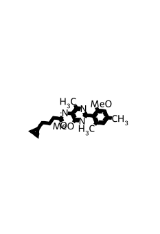 COc1cc(C)cc(C)c1-c1nc(C)c([N]C(=O)CCCC2CC2)c(OC)n1